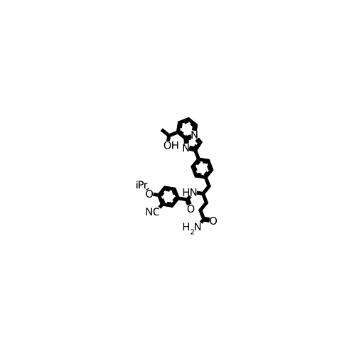 CC(C)Oc1ccc(C(=O)NC(CCC(N)=O)Cc2ccc(-c3cn4cccc(C(C)O)c4n3)cc2)cc1C#N